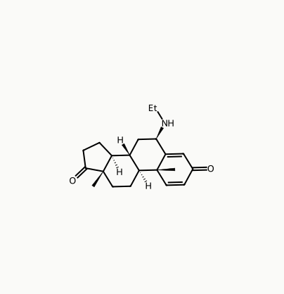 CCN[C@@H]1C[C@@H]2[C@H](CC[C@]3(C)C(=O)CC[C@@H]23)[C@@]2(C)C=CC(=O)C=C12